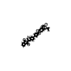 O=C1c2ccccc2C(=O)N1c1cnc2cc(-c3ccc(S(=O)(=O)N4CCC5(CC4)CN(C4CC4)C(=O)CO5)cc3)ccc2c1